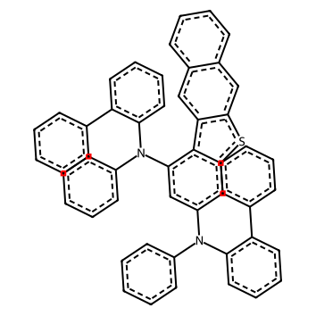 c1ccc(-c2ccccc2N(c2ccccc2)c2cc(N(c3ccccc3)c3ccccc3-c3ccccc3)c3c(c2)sc2cc4ccccc4cc23)cc1